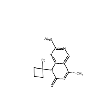 CCC1(n2c(=O)cc(C)c3cnc(SC)nc32)CCC1